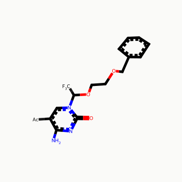 CC(=O)c1cn(C(OCCOCc2ccccc2)C(F)(F)F)c(=O)nc1N